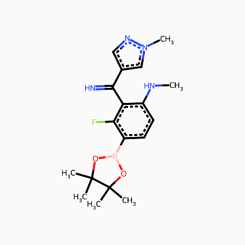 CNc1ccc(B2OC(C)(C)C(C)(C)O2)c(F)c1C(=N)c1cnn(C)c1